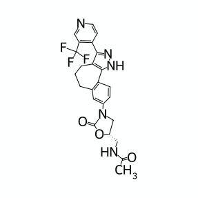 CC(=O)NC[C@H]1CN(c2ccc3c(c2)CCCc2c(-c4ccncc4C(F)(F)F)n[nH]c2-3)C(=O)O1